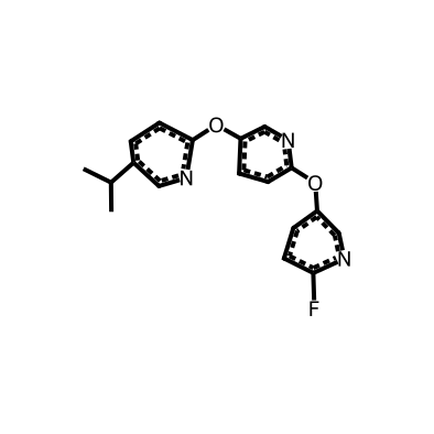 CC(C)c1ccc(Oc2ccc(Oc3ccc(F)nc3)nc2)nc1